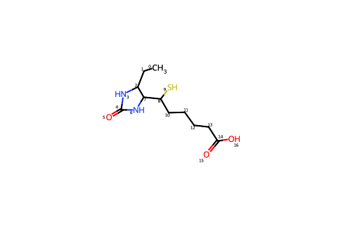 CCC1NC(=O)NC1C(S)CCCCC(=O)O